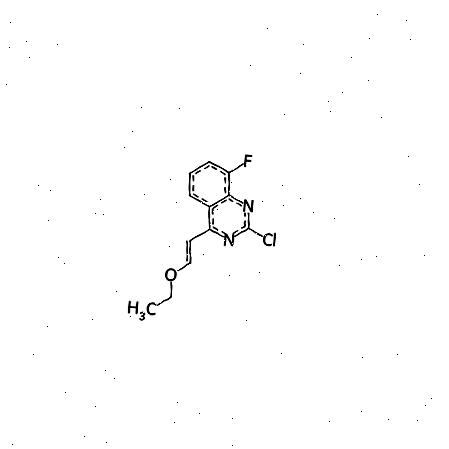 CCOC=Cc1nc(Cl)nc2c(F)cccc12